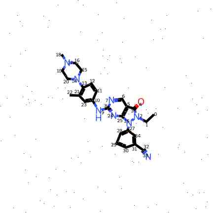 CCn1c(=O)c2cnc(Nc3ccc(N4CCN(C)CC4)c(C)c3)nc2n1-c1cccc(C#N)c1